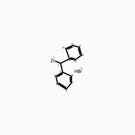 Br.[Zn][CH](c1ccccc1)c1ccccc1